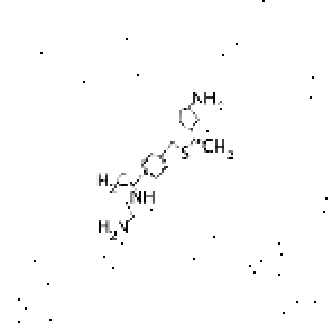 C=C(NCCN)c1ccc(CSC(=C)C2CCC(N)C2)cc1